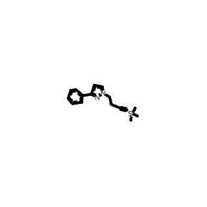 C[Si](C)(C)C#CCCn1ccc(-c2ccccc2)n1